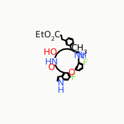 CCOC(=O)CCc1cccc(C2(C)CCCC(O)CNC(=O)CCc3c(c(F)cc4[nH]ccc34)Oc3ccc(F)c(c3)-c3ncc2[nH]3)c1